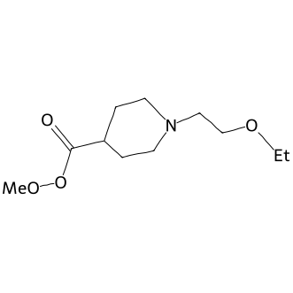 CCOCCN1CCC(C(=O)OOC)CC1